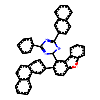 c1ccc(C2=NC(c3c(-c4ccc5ccc6ccccc6c5c4)ccc4oc5ccccc5c34)NC(c3ccc4ccccc4c3)=N2)cc1